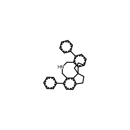 c1ccc(-c2ccc3c4c2CNCc2c(-c5ccccc5)ccc5c2C4(CC3)CC5)cc1